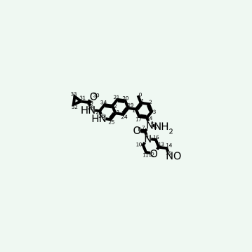 Cc1ccc(N(N)C(=O)N2CCOC(CN=O)C2)cc1-c1ccc2c(c1)=CNC(NC(=O)C1CC1)C=2